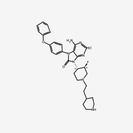 Cl.Nc1ncnc2c1n(-c1ccc(Oc3ccccc3)cc1)c(=O)n2[C@H]1CCN(CCC2CCNCC2)C[C@@H]1F